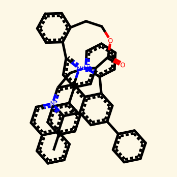 Cc1ccc(-c2cc3[n+](-c4c5[n+]6ccc7ccccc7c6c6cc(-c7ccccc7)cc(c46)-c4cccc[n+]4C5)c(c2)-c2ccccc2CCOC3=O)cc1